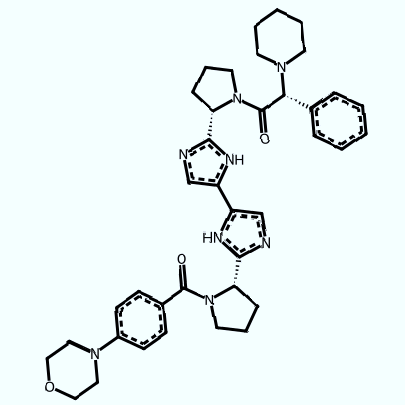 O=C(c1ccc(N2CCOCC2)cc1)N1CCC[C@H]1c1ncc(-c2cnc([C@@H]3CCCN3C(=O)[C@@H](c3ccccc3)N3CCCCC3)[nH]2)[nH]1